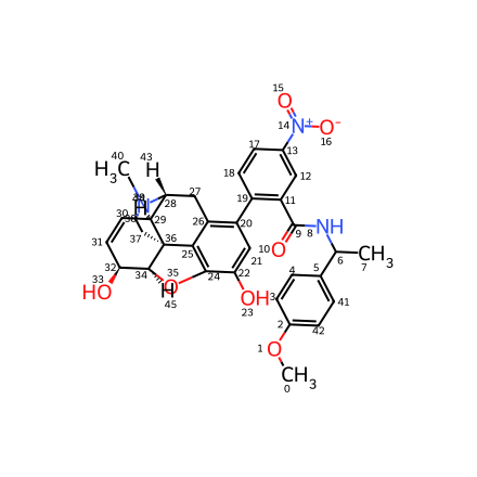 COc1ccc(C(C)NC(=O)c2cc([N+](=O)[O-])ccc2-c2cc(O)c3c4c2C[C@@H]2[C@@H]5C=C[C@H](O)[C@H](O3)[C@]45CCN2C)cc1